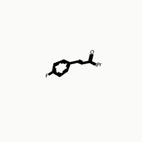 CC(C)C(=O)C=Cc1ccc(F)cc1